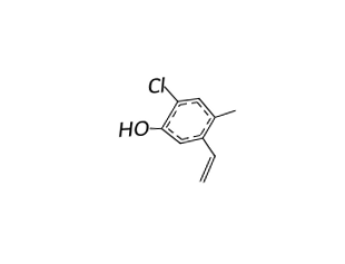 C=Cc1cc(O)c(Cl)cc1C